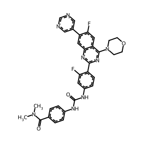 CN(C)C(=O)c1ccc(NC(=O)Nc2ccc(-c3nc(N4CCOCC4)c4cc(F)c(-c5cncnc5)cc4n3)c(F)c2)cc1